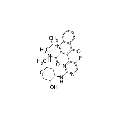 CNC(=O)c1c(-c2nc(N[C@@H]3CCOC[C@H]3O)ncc2F)c(=O)c2ccccc2n1C(C)C